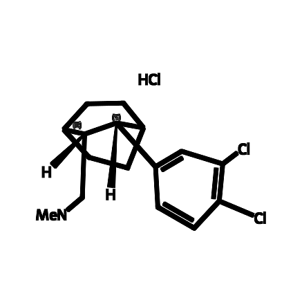 CNC[C@@H]1C2CCC(CC2)[C@@H]1c1ccc(Cl)c(Cl)c1.Cl